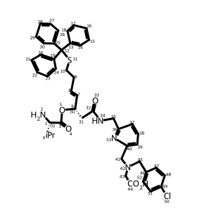 CC(C)[C@H](N)C(=O)O[C@H](C=CCCSC(c1ccccc1)(c1ccccc1)c1ccccc1)CC(=O)NCc1cccc(CN(CC(=O)O)Cc2ccc(Cl)cc2)n1